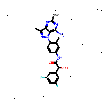 CNc1nc(N)c2c(n1)c(C)nn2-c1ccc(NC(=O)C(O)c2cc(F)cc(F)c2)cc1C